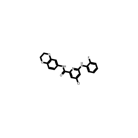 O=C(Nc1ccc2c(c1)OCCO2)c1cc(Cl)cc(Nc2ccccc2F)n1